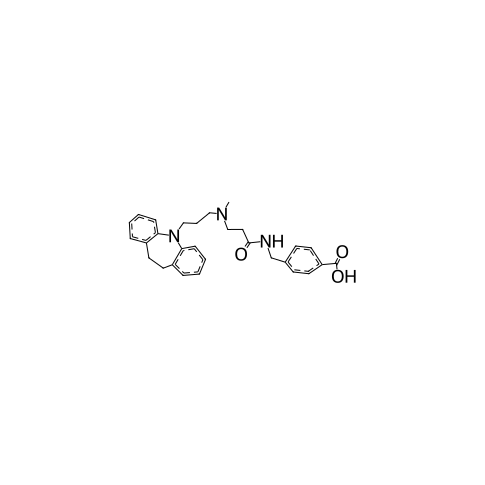 CN(CCCN1c2ccccc2CCc2ccccc21)CCC(=O)NCc1ccc(C(=O)O)cc1